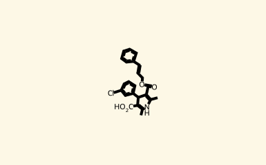 CC1=C(C(=O)O)C(c2cccc(Cl)c2)C(C(=O)OCC=Cc2ccccc2)=C(C)N1